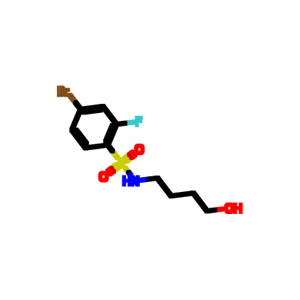 O=S(=O)(NCCCCO)c1ccc(Br)cc1F